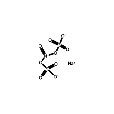 O=[N+](OS(=O)(=O)[O-])OS(=O)(=O)[O-].[Na+]